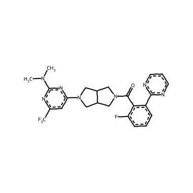 CN(C)c1nc(N2CC3CN(C(=O)c4c(F)cccc4-c4ncccn4)CC3C2)cc(C(F)(F)F)n1